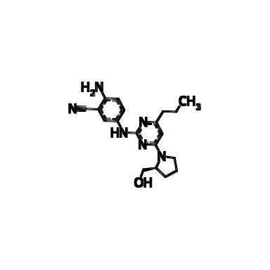 CCCc1cc(N2CCC[C@H]2CO)nc(Nc2ccc(N)c(C#N)c2)n1